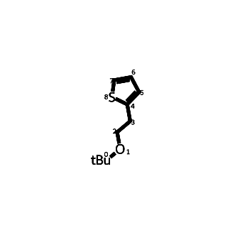 CC(C)(C)OCCc1cccs1